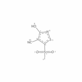 CS(=O)(=O)c1snc(O)c1C#N